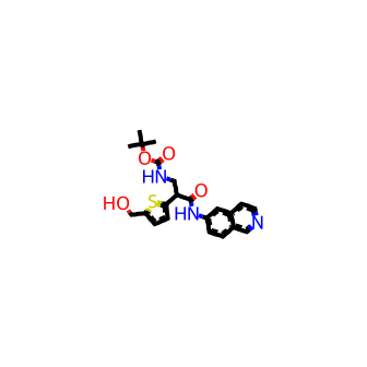 CC(C)(C)OC(=O)NCC(C(=O)Nc1ccc2cnccc2c1)c1ccc(CO)s1